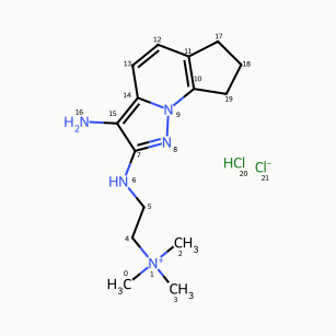 C[N+](C)(C)CCNc1nn2c3c(ccc2c1N)CCC3.Cl.[Cl-]